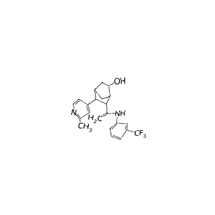 C=C(Nc1cccc(C(F)(F)F)c1)C1C2CC(CC2O)C1c1ccnc(C)c1